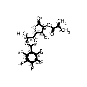 C=C(C)C(=O)O[C@@H]1C(=O)O[C@H]([C@H]2OC(c3c(F)c(F)c(F)c(F)c3F)O[C@H]2C)[C@@H]1CC